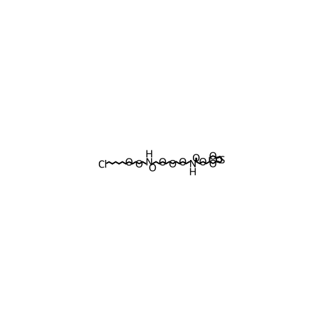 O=C(CCOCCOCCOCCNC(=O)COCC1COc2cscc2O1)NCCOCCOCCCCCCCl